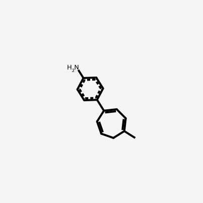 CC1=CC=C(c2ccc(N)cc2)C=CC1